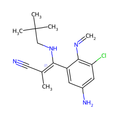 C=Nc1c(Cl)cc(N)cc1/C(NCC(C)(C)C)=C(\C)C#N